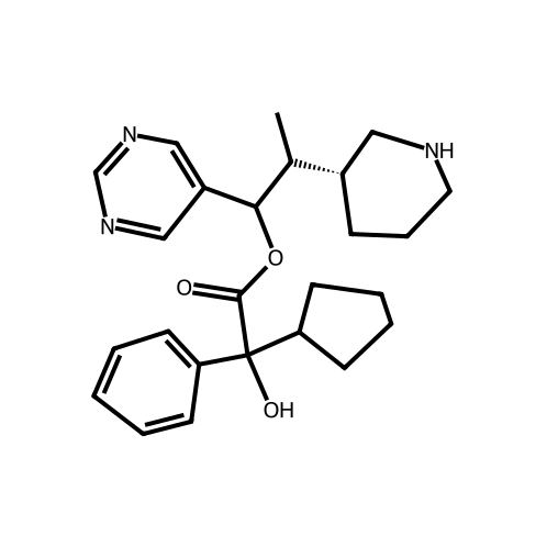 CC(C(OC(=O)C(O)(c1ccccc1)C1CCCC1)c1cncnc1)[C@H]1CCCNC1